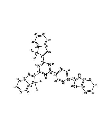 CC1(C)C(c2nc(C3=Cc4ccccc4C3(C)C)nc(-c3ccc(-c4nc5c(o4)C=CCC5)cc3)n2)=Cc2ccccc21